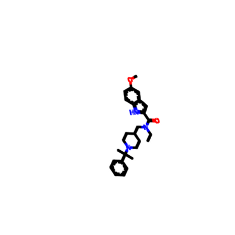 CCN(CC1CCN(C(C)(C)c2ccccc2)CC1)C(=O)c1cc2cc(OC)ccc2[nH]1